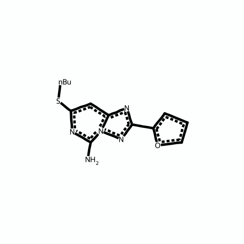 CCCCSc1cc2nc(-c3ccco3)nn2c(N)n1